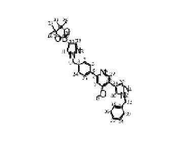 COc1cc(-c2ccc(Cn3cc(B4OC(C)(C)C(C)(C)O4)cn3)cc2)ncc1-c1cnn(Cc2ccccc2)c1